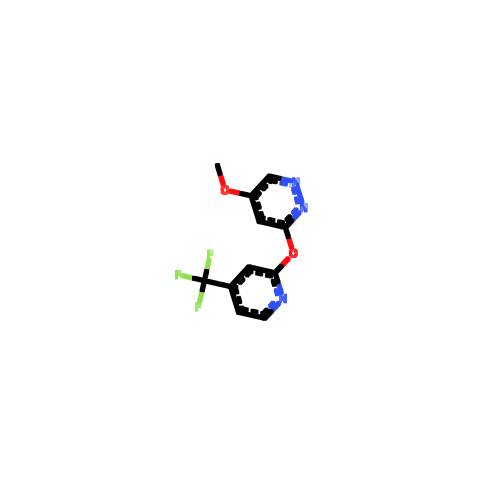 COc1cnnc(Oc2cc(C(F)(F)F)ccn2)c1